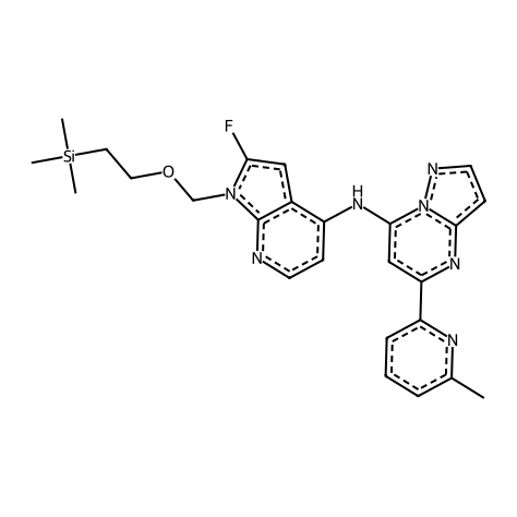 Cc1cccc(-c2cc(Nc3ccnc4c3cc(F)n4COCC[Si](C)(C)C)n3nccc3n2)n1